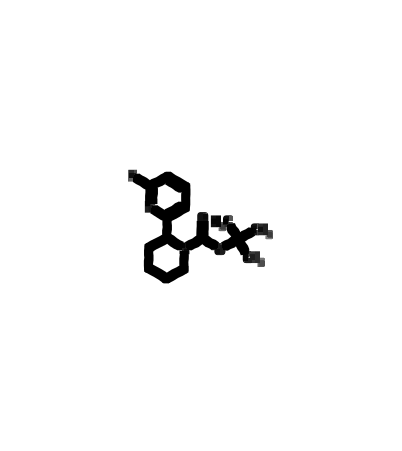 CC(C)(C)OC(=O)N1CCCCC1c1cccc(F)n1